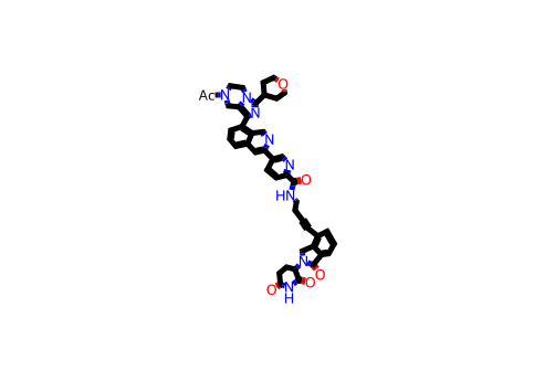 CC(=O)N1CCn2c(C3CCOCC3)nc(-c3cccc4cc(-c5ccc(C(=O)NCCC#Cc6cccc7c6CN(C6CCC(=O)NC6=O)C7=O)nc5)ncc34)c2C1